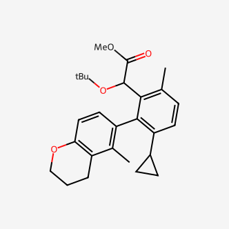 COC(=O)C(OC(C)(C)C)c1c(C)ccc(C2CC2)c1-c1ccc2c(c1C)CCCO2